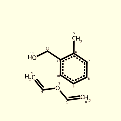 C=COC=C.Cc1ccccc1CO